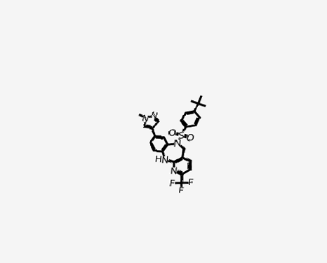 Cn1cc(-c2ccc3c(c2)N(S(=O)(=O)c2ccc(C(C)(C)C)cc2)Cc2ccc(C(F)(F)F)nc2N3)cn1